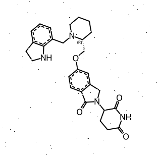 O=C1CCC(N2Cc3cc(OC[C@H]4CCCCN4Cc4cccc5c4NCC5)ccc3C2=O)C(=O)N1